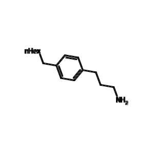 CCCCCCCc1ccc(CCCN)cc1